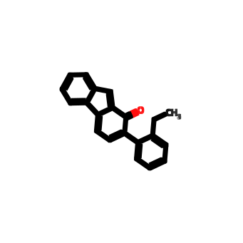 CCc1ccccc1C1=CC=C2C(=Cc3ccccc32)C1=O